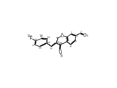 O=Cc1ccc2c(c1)OC/C(=C\c1ccc(F)cc1)C2=O